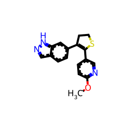 COc1ccc(C2=C(c3ccc4cn[nH]c4c3)CCS2)cn1